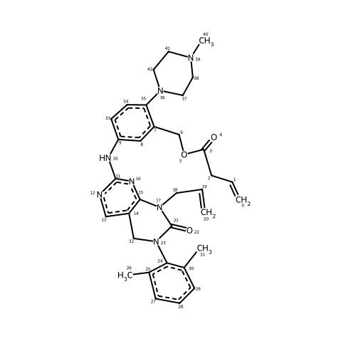 C=CCC(=O)OCc1cc(Nc2ncc3c(n2)N(CC=C)C(=O)N(c2c(C)cccc2C)C3)ccc1N1CCN(C)CC1